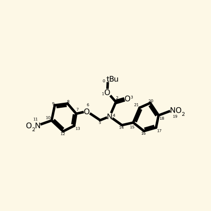 CC(C)(C)OC(=O)N(COc1ccc([N+](=O)[O-])cc1)Cc1ccc([N+](=O)[O-])cc1